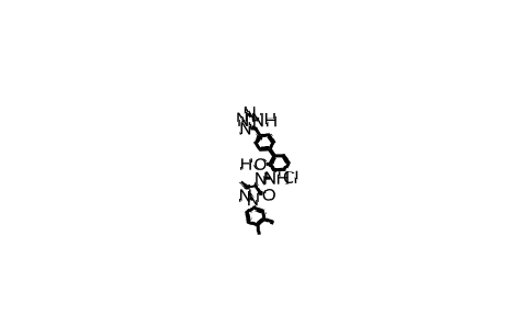 CC1=NN(c2ccc(C)c(C)c2)C(=O)C1=NNc1c(Cl)ccc(-c2ccc(-c3nnn[nH]3)cc2)c1O